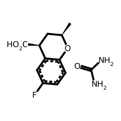 C[C@@H]1C[C@H](C(=O)O)c2cc(F)ccc2O1.NC(N)=O